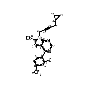 CCc1nc2c(-c3ccc(C(F)(F)F)cc3Cl)ncnc2n1CC#CCC1CC1